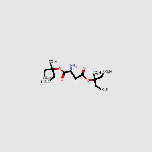 N[C@@H](CC(=O)OC(CC(=O)O)(CC(=O)O)C(=O)O)C(=O)OC(CC(=O)O)(CC(=O)O)C(=O)O